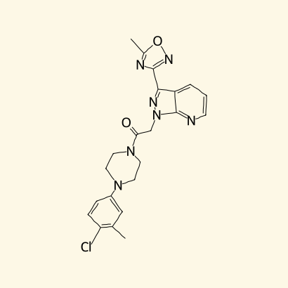 Cc1nc(-c2nn(CC(=O)N3CCN(c4ccc(Cl)c(C)c4)CC3)c3ncccc23)no1